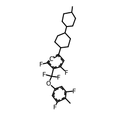 Cc1c(F)cc(OC(F)(F)c2c(F)cc(C3CCC(C4CCC(C)CC4)CC3)cc2F)cc1F